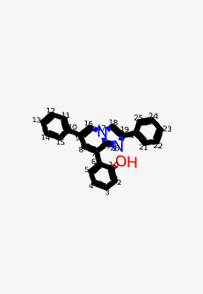 Oc1ccccc1-c1cc(-c2ccccc2)cn2cc(-c3ccccc3)nc12